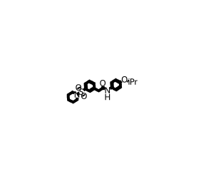 CC(C)Oc1ccc(NC(=O)Cc2cccc(S(=O)(=O)N3CCCCC3)c2)cc1